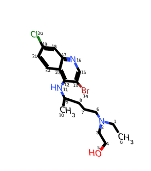 CCN(CCO)CCCC(C)Nc1c(Br)cnc2cc(Cl)ccc12